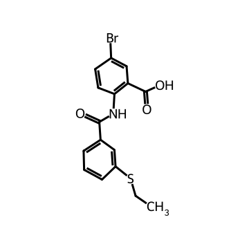 CCSc1cccc(C(=O)Nc2ccc(Br)cc2C(=O)O)c1